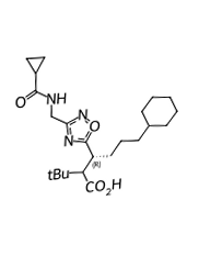 CC(C)(C)C(C(=O)O)[C@@H](CCCC1CCCCC1)c1nc(CNC(=O)C2CC2)no1